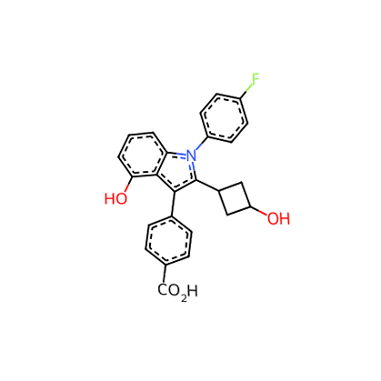 O=C(O)c1ccc(-c2c(C3CC(O)C3)n(-c3ccc(F)cc3)c3cccc(O)c23)cc1